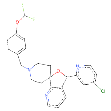 FC(F)OC1=CC=C(CN2CCC3(CC2)OC(c2cc(Cl)ccn2)c2cccnc23)CC1